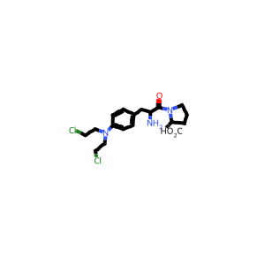 NC(Cc1ccc(N(CCCl)CCCl)cc1)C(=O)N1CCCC1C(=O)O